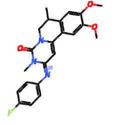 COc1cc2c(cc1OC)C(C)Cn1c-2c/c(=N/c2ccc(F)cc2)n(C)c1=O